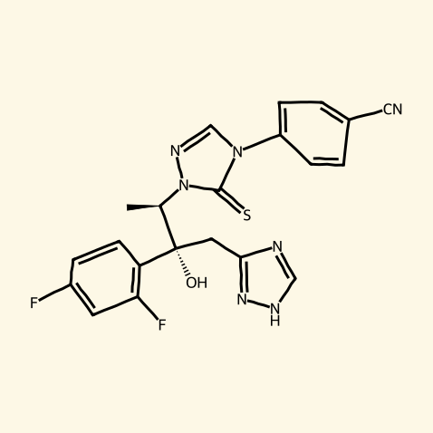 C[C@@H](n1ncn(-c2ccc(C#N)cc2)c1=S)[C@@](O)(Cc1nc[nH]n1)c1ccc(F)cc1F